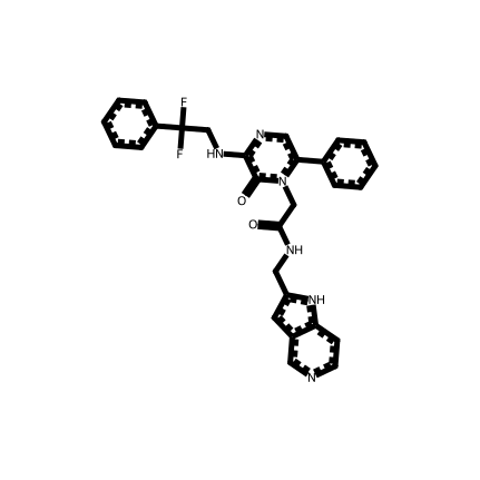 O=C(Cn1c(-c2ccccc2)cnc(NCC(F)(F)c2ccccc2)c1=O)NCc1cc2cnccc2[nH]1